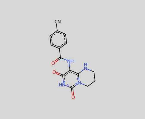 N#Cc1ccc(C(=O)Nc2c3n(c(=O)[nH]c2=O)CCCN3)cc1